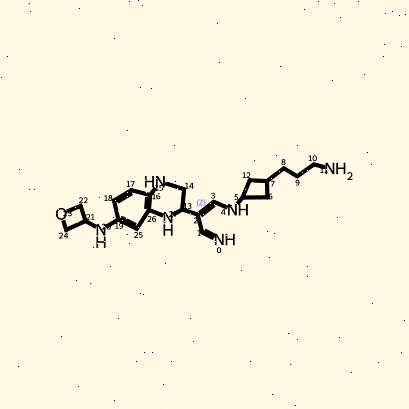 N=C/C(=C\NC1CC(CCCN)C1)C1CNc2ccc(NC3COC3)cc2N1